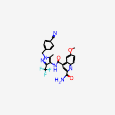 COc1ccc2nc(C(N)=O)cc(C(=O)Nc3c(C(F)(F)F)nn(Cc4ccc(C#N)cc4)c3C)c2c1